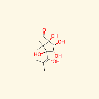 CC(C)=C(O)[C@@]1(O)[C@@H](O)[C@H](O)[C@@](O)(C=O)C1(C)C